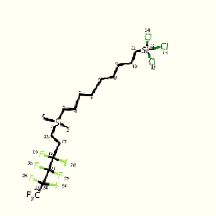 C[Si](C)(CCCCCCCCC[Si](Cl)(Cl)Cl)CCC(F)(F)C(F)(F)C(F)(F)C(F)(F)F